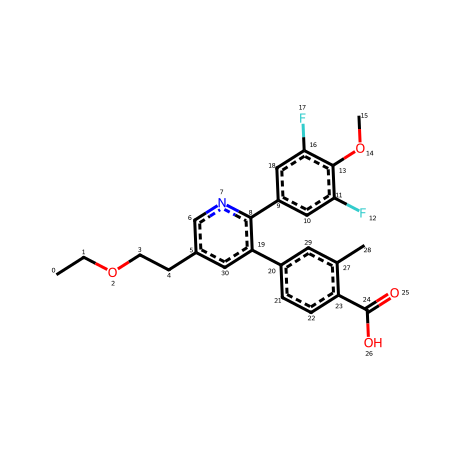 CCOCCc1cnc(-c2cc(F)c(OC)c(F)c2)c(-c2ccc(C(=O)O)c(C)c2)c1